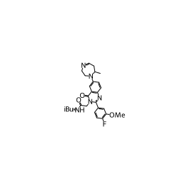 CC[C@@H](C)NC(=O)Cn1c(-c2ccc(F)c(OC)c2)nc2ccc(N3CCN=CCC3C)cc2c1=O